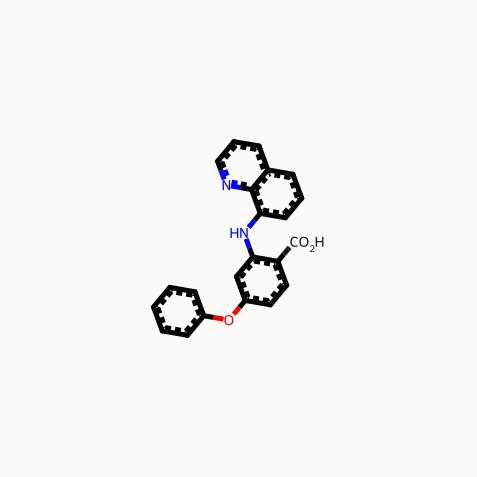 O=C(O)c1ccc(Oc2ccccc2)cc1Nc1cccc2cccnc12